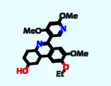 CCOc1cc2c(cc1OC)C(c1cnc(OC)cc1OC)=NC1CCC(O)CC21